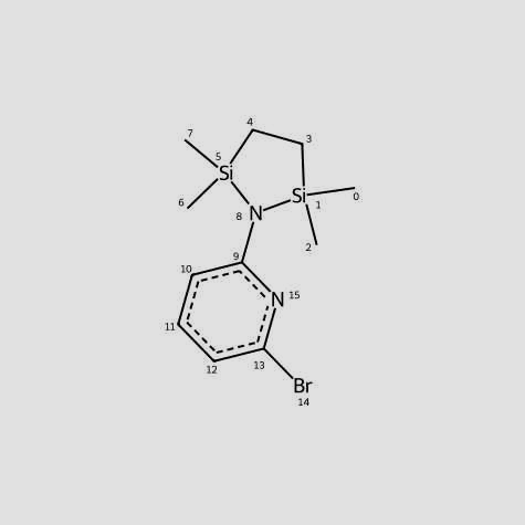 C[Si]1(C)CC[Si](C)(C)N1c1cccc(Br)n1